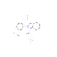 CCS(=N)(=O)c1ccc(N2CCC(F)(F)C2)c(-c2cc3cc(OC)ccc3n2C(=O)OC(C)(C)C)c1